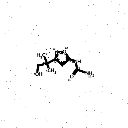 CC(C)(CO)c1cc(NC(N)=O)on1